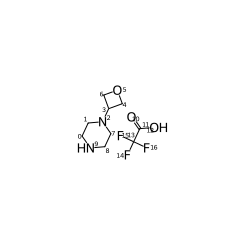 C1CN(C2COC2)CCN1.O=C(O)C(F)(F)F